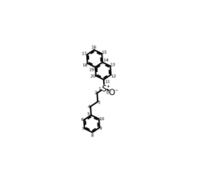 [O-][S+](CCCc1ccccc1)c1ccc2ccccc2c1